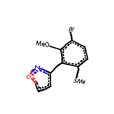 COc1c(Br)ccc(SC)c1-c1ccon1